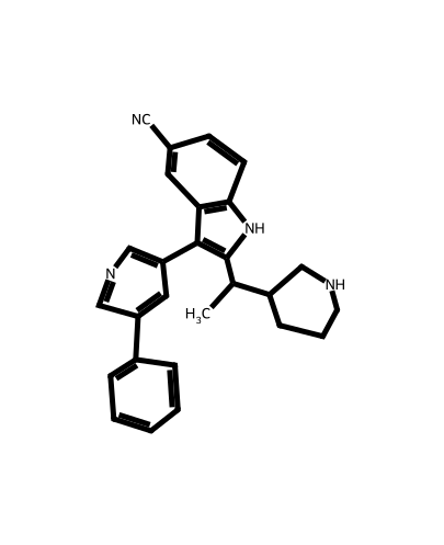 CC(c1[nH]c2ccc(C#N)cc2c1-c1cncc(-c2ccccc2)c1)C1CCCNC1